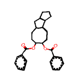 O=C(OC1CCC2CC3CCCC3C2CCC1OC(=O)c1ccccc1)c1ccccc1